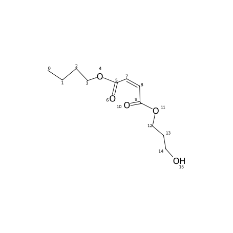 CCCCOC(=O)/C=C\C(=O)OCCCO